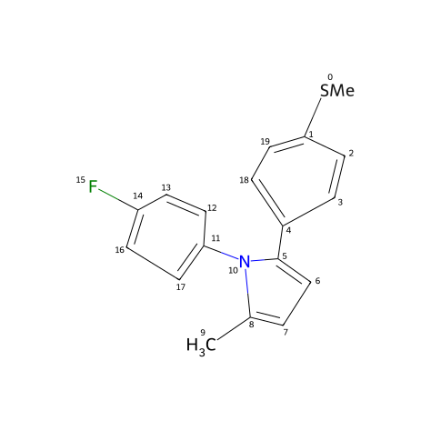 CSc1ccc(-c2ccc(C)n2-c2ccc(F)cc2)cc1